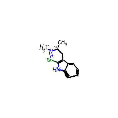 CN[C@@H](C)Cc1c(Br)[nH]c2ccccc12